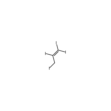 ICC(I)=C(I)I